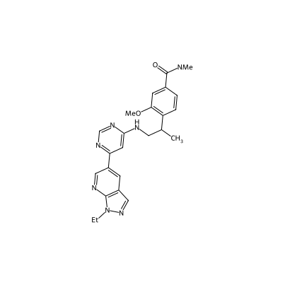 CCn1ncc2cc(-c3cc(NCC(C)c4ccc(C(=O)NC)cc4OC)ncn3)cnc21